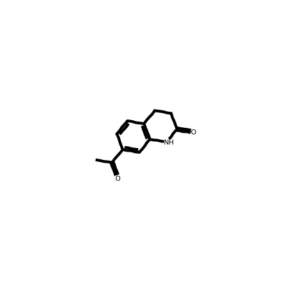 CC(=O)c1ccc2c(c1)NC(=O)CC2